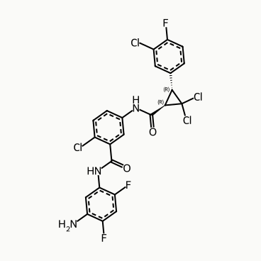 Nc1cc(NC(=O)c2cc(NC(=O)[C@H]3[C@H](c4ccc(F)c(Cl)c4)C3(Cl)Cl)ccc2Cl)c(F)cc1F